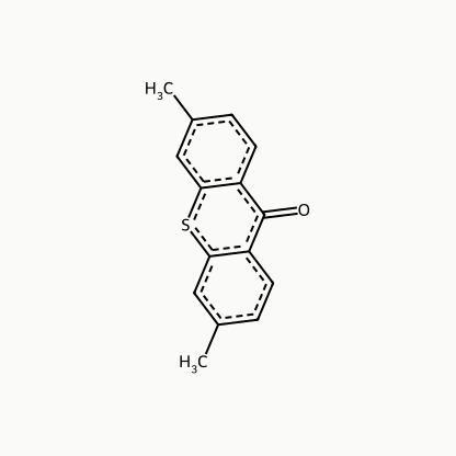 Cc1ccc2c(=O)c3ccc(C)cc3sc2c1